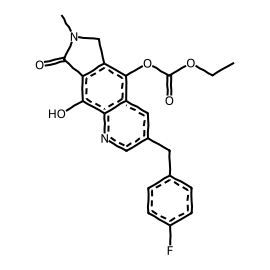 CCOC(=O)Oc1c2c(c(O)c3ncc(Cc4ccc(F)cc4)cc13)C(=O)N(C)C2